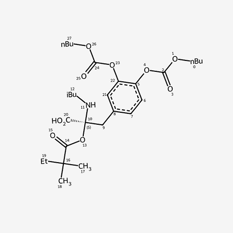 CCCCOC(=O)Oc1ccc(C[C@](NC(C)CC)(OC(=O)C(C)(C)CC)C(=O)O)cc1OC(=O)OCCCC